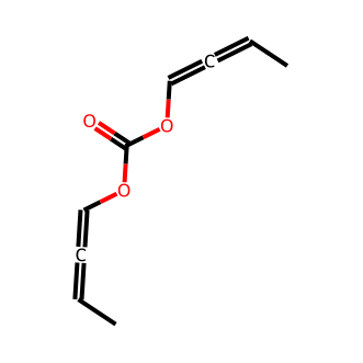 CC=C=COC(=O)OC=C=CC